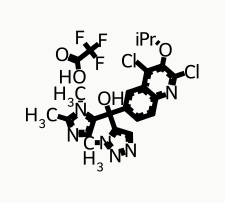 Cc1ncc(C(O)(c2ccc3nc(Cl)c(OC(C)C)c(Cl)c3c2)c2cnnn2C)n1C.O=C(O)C(F)(F)F